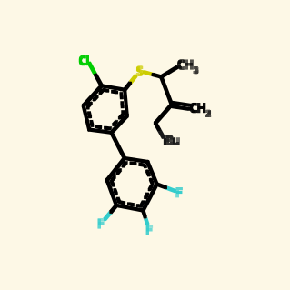 C=C(CC(C)CC)C(C)Sc1cc(-c2cc(F)c(F)c(F)c2)ccc1Cl